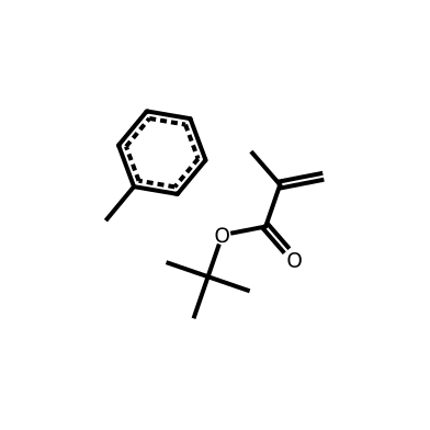 C=C(C)C(=O)OC(C)(C)C.Cc1ccccc1